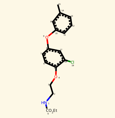 CCOC(=O)NCCOc1ccc(Oc2cccc(C)c2)cc1Cl